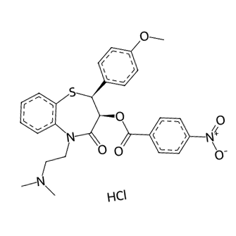 COc1ccc([C@@H]2Sc3ccccc3N(CCN(C)C)C(=O)[C@@H]2OC(=O)c2ccc([N+](=O)[O-])cc2)cc1.Cl